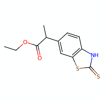 CCOC(=O)C(C)c1ccc2[nH]c(=S)sc2c1